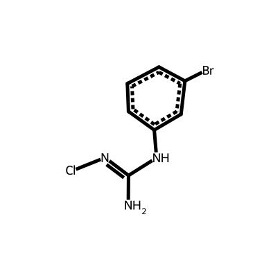 NC(=NCl)Nc1cccc(Br)c1